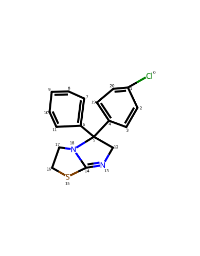 Clc1ccc(C2(c3ccccc3)CN=C3SCCN32)cc1